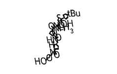 C/C(=N\NC(=O)c1cccc(C(=O)NCc2ccc(C(=O)NCCOCCO)cc2)n1)c1csc(-c2ccc(C(C)(C)C)cc2)c1O